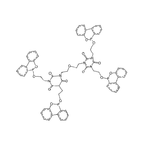 O=C1C(CCOP2Oc3ccccc3-c3ccccc32)C(=O)N(CCOP2Oc3ccccc3-c3ccccc32)C(=O)N1CCOCCn1c(=O)n(CCOP2Oc3ccccc3-c3ccccc32)c(=O)n(CCOP2Oc3ccccc3-c3ccccc32)c1=O